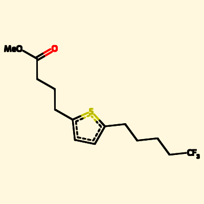 COC(=O)CCCc1ccc(CCCCC(F)(F)F)s1